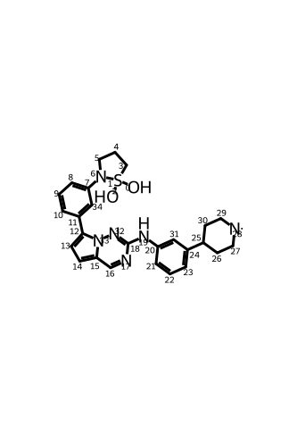 OS1(O)CCCN1c1cccc(-c2ccc3cnc(Nc4cccc(C5CC[N]CC5)c4)nn23)c1